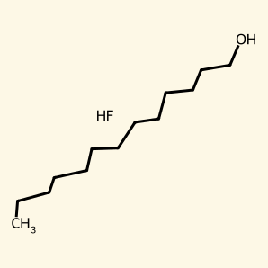 CCCCCCCCCCCCCO.F